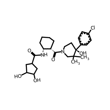 CC1(C)CN(C(=O)[C@H]2CCCC[C@H]2NC(=O)C2CC(O)C(O)C2)CC[C@]1(O)c1ccc(Cl)cc1